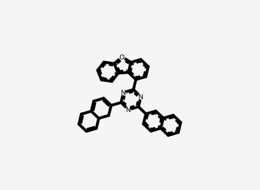 C1=CC2=CC=C(c3nc(-c4ccc5ccccc5c4)nc(-c4cccc5oc6ccccc6c45)n3)CC2C=C1